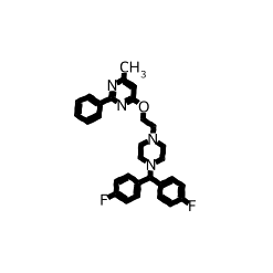 Cc1cc(OCCN2CCN(C(c3ccc(F)cc3)c3ccc(F)cc3)CC2)nc(-c2ccccc2)n1